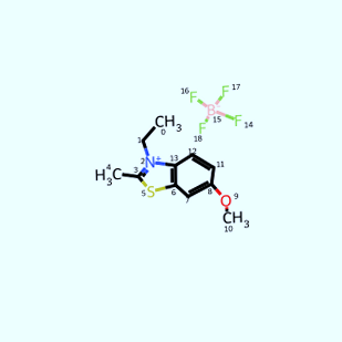 CC[n+]1c(C)sc2cc(OC)ccc21.F[B-](F)(F)F